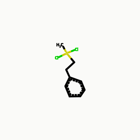 CS(Cl)(Cl)CCc1ccccc1